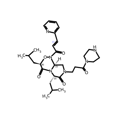 CC(C)C[C@H]1ON(C(=O)/C=C/c2ccccn2)[C@H]2CN(CCC(=O)N3CCNCC3)C(=O)[C@H](CC(C)C)N2C1=O